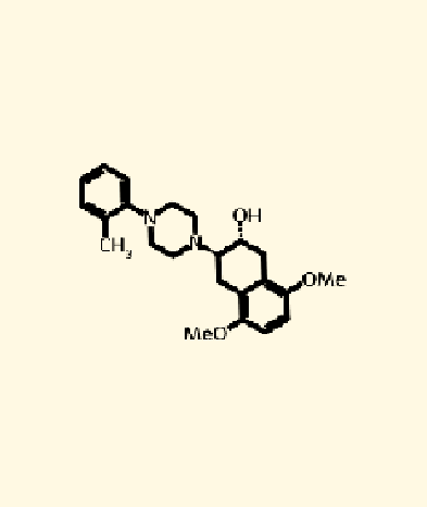 COc1ccc(OC)c2c1C[C@@H](O)[C@H](N1CCN(c3ccccc3C)CC1)C2